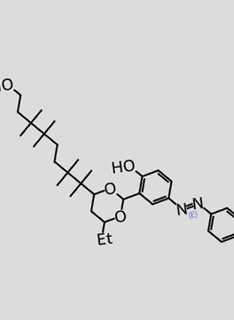 CCC1CC(C(C)(C)C(C)(C)CCC(C)(C)C(C)(C)CCO)OC(c2cc(/N=N/c3ccccc3)ccc2O)O1